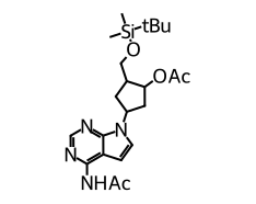 CC(=O)Nc1ncnc2c1ccn2C1CC(CO[Si](C)(C)C(C)(C)C)C(OC(C)=O)C1